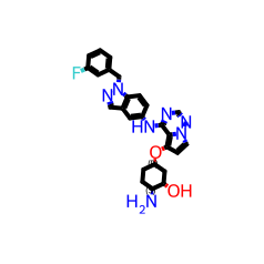 N[C@H]1CC[C@@H](Oc2ccn3ncnc(Nc4ccc5c(cnn5Cc5cccc(F)c5)c4)c23)CC1O